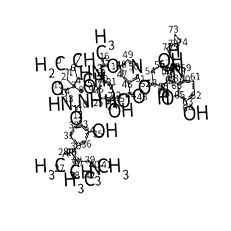 C=CCC1(C(C)CC)C(=O)NC(=O)NC1=O.CC(=O)Nc1ccc(O)cc1.CC[C@@H](c1cccc(O)c1)[C@@H](C)CN(C)C.O=C(O)c1cccnc1.O=C1CC[C@@]2(O)[C@H]3Cc4ccc(O)c5c4[C@@]2(CCN3CC2CC2)[C@H]1O5